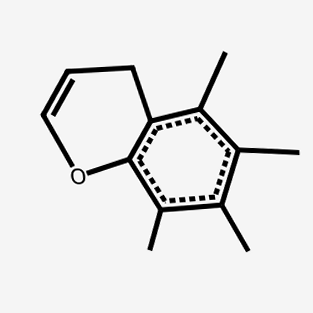 Cc1c(C)c(C)c2c(c1C)CC=CO2